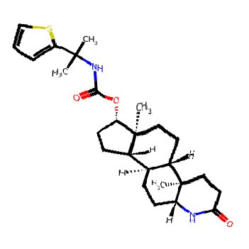 CC(C)(NC(=O)O[C@H]1CC[C@H]2[C@@H]3CC[C@H]4NC(=O)CC[C@]4(C)[C@H]3CC[C@]12C)c1cccs1